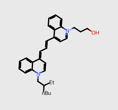 CCCCC(CC)CN1C=C/C(=C\C=C\c2cc[n+](CCCO)c3ccccc23)c2ccccc21